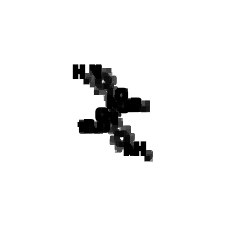 CC(C)(C)OC(=O)N(CCc1ccc(N)cc1)CCN(CCc1ccc(N)cc1)C(=O)OC(C)(C)C